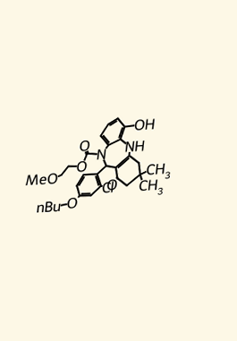 CCCCOc1ccc(C2C3=C(CC(C)(C)CC3=O)Nc3c(O)cccc3N2C(=O)OCCOC)c(Cl)c1